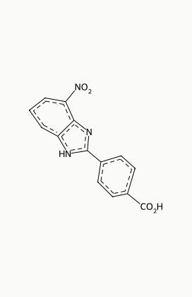 O=C(O)c1ccc(-c2nc3c([N+](=O)[O-])cccc3[nH]2)cc1